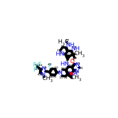 CNC1=C(C(=N)c2c(OCC(C)(C(=N)C3=C(NC)CCNC3)C3CC3)ncnc2C2CC2)CN(c2ccc(-c3nc(C(F)(F)F)cn3C)c(F)c2)CC1